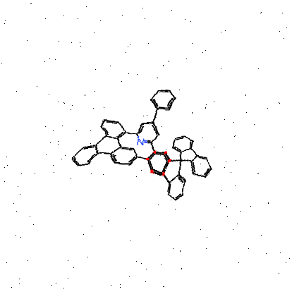 c1ccc(-c2cc(-c3ccccc3)nc(-c3cccc4c5ccccc5c5ccc(-c6ccc7c(c6)-c6ccccc6C76c7ccccc7-c7ccccc76)cc5c34)c2)cc1